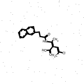 C/C(NC(=O)CCc1ccc2ccccc2c1)=C(\C=C(/C)Cl)C(=O)O